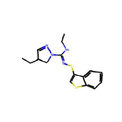 CCN/C(=N\Sc1csc2ccccc12)N1CC(CC)C=N1